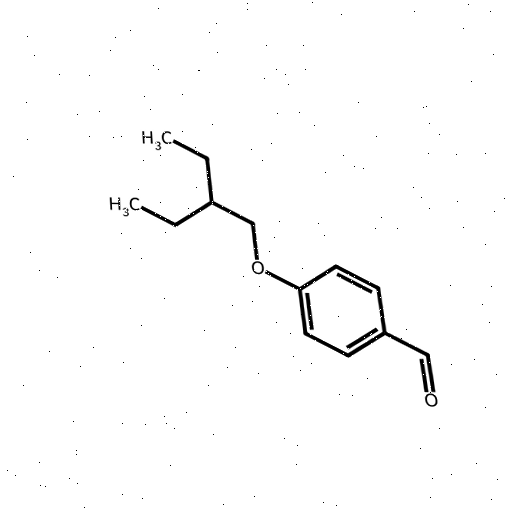 CCC(CC)COc1ccc(C=O)cc1